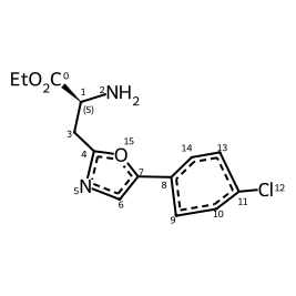 CCOC(=O)[C@@H](N)Cc1ncc(-c2ccc(Cl)cc2)o1